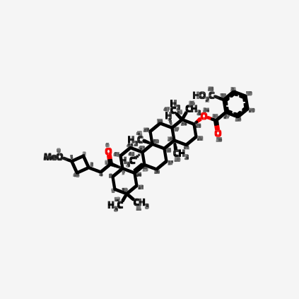 COC1CC(CC(=O)[C@]23CCC(C)(C)CC2=C2CCC4[C@@]5(C)CC[C@H](OC(=O)c6ccccc6C(=O)O)C(C)(C)[C@@H]5CC[C@@]4(C)[C@]2(C)CC3)C1